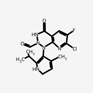 CC1=CCNC(C(C)C)=C1N1c2nc(Cl)c(F)cc2C(=O)NN1C=O